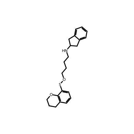 c1ccc2c(c1)CC(NCCCCOSc1cccc3c1OCCC3)C2